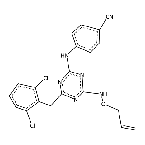 C=CCONc1nc(Cc2c(Cl)cccc2Cl)nc(Nc2ccc(C#N)cc2)n1